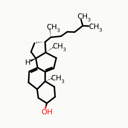 CC(C)CCC[C@@H](C)[C@H]1CC[C@H]2C3=CCC4CC(O)CC[C@]4(C)C3=CC[C@]12C